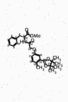 COC(=O)[C@H](Cc1ccccc1)NC(=O)COc1ccc(C)c(B2OC(C)(C)C(C)(C)O2)c1